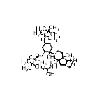 CC(C)(C)[Si](C)(C)OC[C@H]1C[C@@H](O[Si](C)(C)C(C)(C)C)CC[C@]1(C)[C@H]1CC[C@]2(C)c3[nH]ncc3C[C@H]2[C@@H]1CNC(=O)O